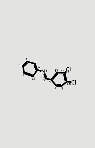 Clc1ccc(/C=N/c2ccccc2)cc1Cl